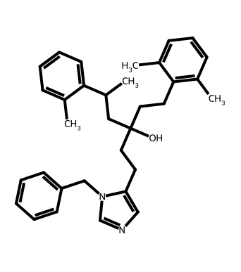 Cc1ccccc1C(C)CC(O)(CCc1c(C)cccc1C)CCc1cncn1Cc1ccccc1